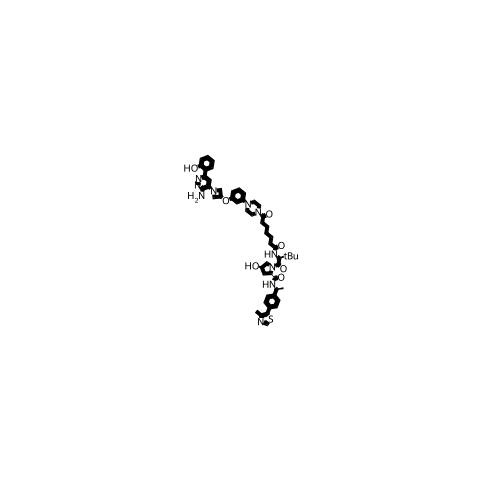 Cc1ncsc1-c1ccc([C@H](C)NC(=O)[C@@H]2C[C@@H](O)CN2C(=O)[C@@H](NC(=O)CCCCCC(=O)N2CCN(c3cccc(OC4CN(c5cc(-c6ccccc6O)nnc5N)C4)c3)CC2)C(C)(C)C)cc1